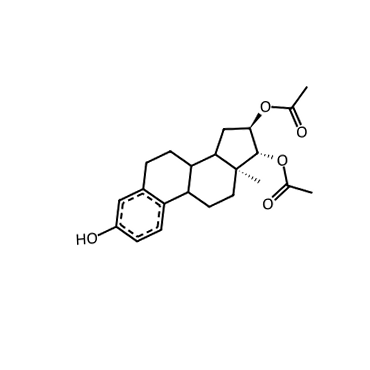 CC(=O)O[C@@H]1CC2C3CCc4cc(O)ccc4C3CC[C@]2(C)[C@H]1OC(C)=O